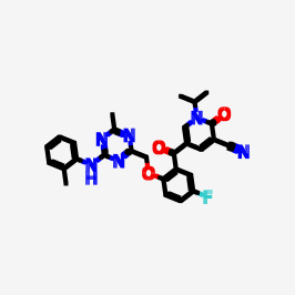 Cc1nc(COc2ccc(F)cc2C(=O)c2cc(C#N)c(=O)n(C(C)C)c2)nc(Nc2ccccc2C)n1